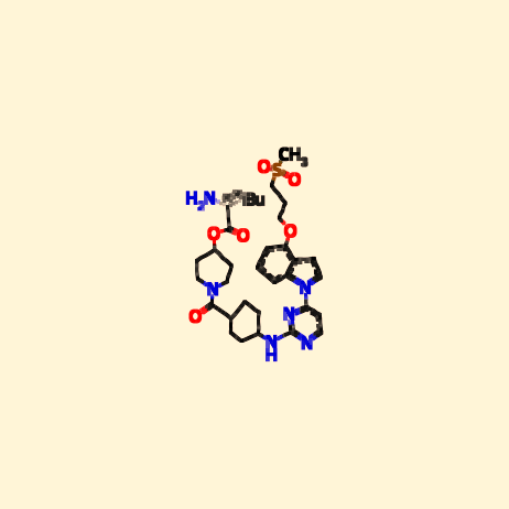 CC[C@@H](C)[C@@H](N)C(=O)OC1CCN(C(=O)C2CCC(Nc3nccc(-n4ccc5c(OCCCS(C)(=O)=O)cccc54)n3)CC2)CC1